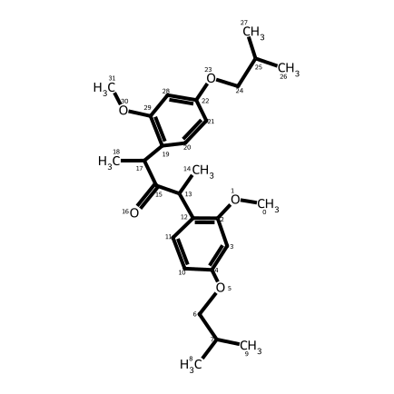 COc1cc(OCC(C)C)ccc1C(C)C(=O)C(C)c1ccc(OCC(C)C)cc1OC